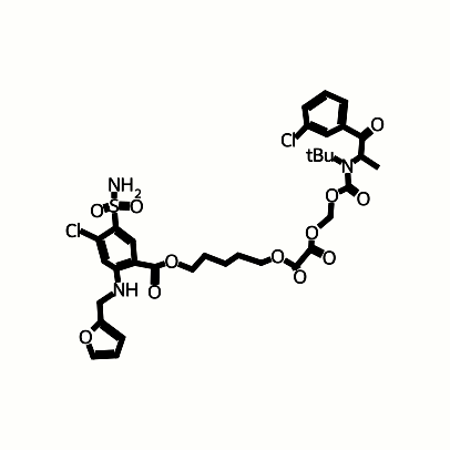 CC(C(=O)c1cccc(Cl)c1)N(C(=O)OCOC(=O)C(=O)OCCCCCOC(=O)c1cc(S(N)(=O)=O)c(Cl)cc1NCc1ccco1)C(C)(C)C